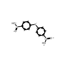 O=S(O)c1ccc(Sc2ccc(S(=O)O)cc2)cc1